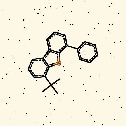 CC(C)(C)c1cccc2c1sc1c(-c3ccccc3)cccc12